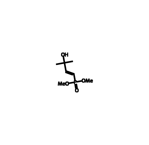 COP(=O)(C=CC(C)(C)O)OC